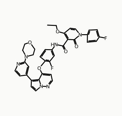 CCOc1ccn(-c2ccc(F)cc2)c(=O)c1C(=O)Nc1ccc(Oc2ccnn3ccc(-c4ccnc(N5CCOCC5)c4)c23)c(F)c1